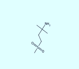 CC(C)(N)CCS(C)(=O)=O